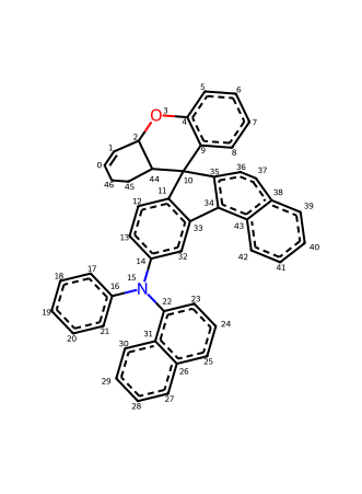 C1=CC2Oc3ccccc3C3(c4ccc(N(c5ccccc5)c5cccc6ccccc56)cc4-c4c3ccc3ccccc43)C2CC1